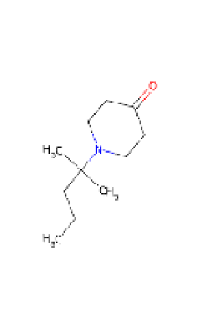 CCCC(C)(C)N1CCC(=O)CC1